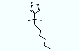 CCCCCCC(C)(C)c1ccsc1